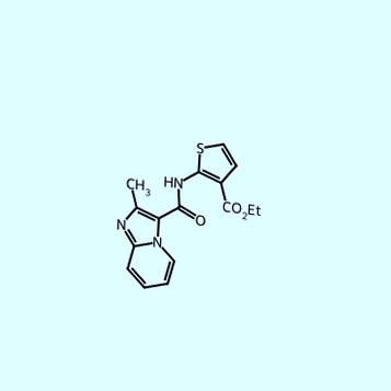 CCOC(=O)c1ccsc1NC(=O)c1c(C)nc2ccccn12